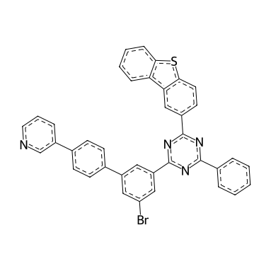 Brc1cc(-c2ccc(-c3cccnc3)cc2)cc(-c2nc(-c3ccccc3)nc(-c3ccc4sc5ccccc5c4c3)n2)c1